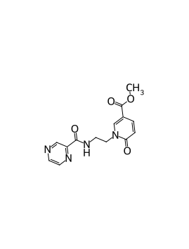 COC(=O)c1ccc(=O)n(CCNC(=O)c2cnccn2)c1